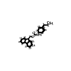 O=C(Nc1ccc(CCO)cc1)OCC1c2ccccc2-c2ccccc21